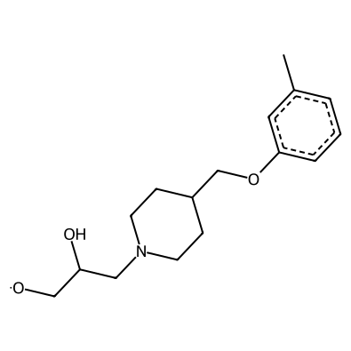 Cc1cccc(OCC2CCN(CC(O)C[O])CC2)c1